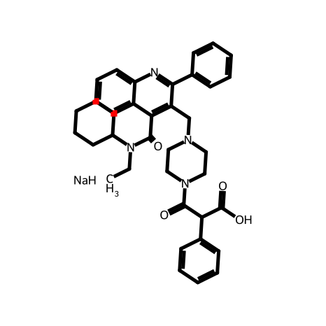 CCN(C(=O)c1c(CN2CCN(C(=O)C(C(=O)O)c3ccccc3)CC2)c(-c2ccccc2)nc2ccccc12)C1CCCCC1.[NaH]